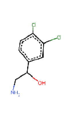 NCC(O)c1ccc(Cl)c(Cl)c1